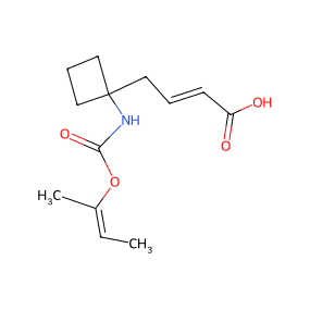 C/C=C(/C)OC(=O)NC1(C/C=C/C(=O)O)CCC1